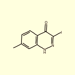 Cc1ccc2c(=O)c(I)n[nH]c2c1